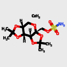 CC1(C)O[C@@H]2[C@@H](CO[C@@]3(COS(N)(=O)=O)OC(C)(C)O[C@@H]23)O1.[CaH2]